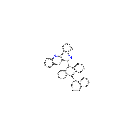 c1ccc2nc3c(cc2c1)c(-c1c2ccccc2c(-c2cccc4ccccc24)c2ccccc12)nc1ccccc13